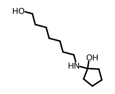 OCCCCCCCNC1(O)CCCC1